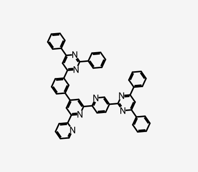 c1ccc(-c2cc(-c3cccc(-c4cc(-c5ccccn5)nc(-c5ccc(-c6nc(-c7ccccc7)cc(-c7ccccc7)n6)cn5)c4)c3)nc(-c3ccccc3)n2)cc1